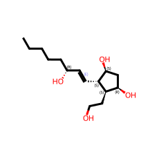 CCCCC[C@@H](O)/C=C/[C@H]1[C@H](CCO)[C@H](O)C[C@@H]1O